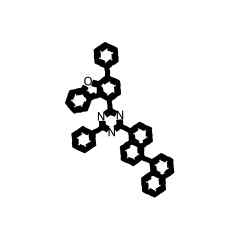 c1ccc(-c2nc(-c3cccc4c(-c5cccc6ccccc56)cccc34)nc(-c3ccc(-c4ccccc4)c4oc5ccccc5c34)n2)cc1